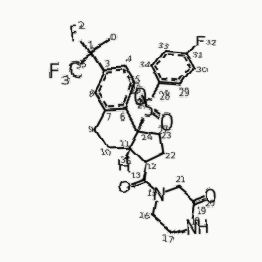 CC(F)(c1ccc2c(c1)CC[C@H]1[C@H](C(=O)N3CCNC(=O)C3)CC[C@@]21S(=O)(=O)c1ccc(F)cc1)C(F)(F)F